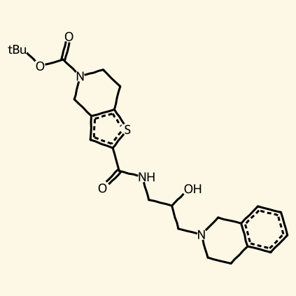 CC(C)(C)OC(=O)N1CCc2sc(C(=O)NCC(O)CN3CCc4ccccc4C3)cc2C1